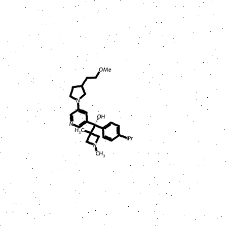 COCCC1CCN(c2cncc([C@@](O)(c3ccc(C(C)C)cc3)C3(C)CN(C)C3)c2)C1